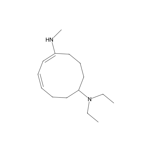 CCN(CC)C1CC/C=C\C=C(\NC)CCC1